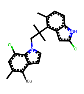 Cc1ccc2[nH]c(Cl)cc2c1C(C)(C)Cn1ccc2c(C(C)(C)C)c(C)cc(Cl)c21